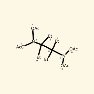 CCC(CC)(N(OC(C)=O)OC(C)=O)C(CC)(CC)N(OC(C)=O)OC(C)=O